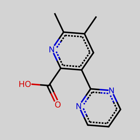 Cc1cc(-c2ncccn2)c(C(=O)O)nc1C